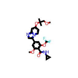 COCC(C)(C)Oc1ccn2c(-c3cc(OC)c(C(=O)NC4CC4)c(OC(F)F)c3)cnc2c1